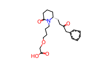 O=C(O)COCCCCN1C(=O)CCC[C@@H]1CCC(=O)Cc1ccccc1